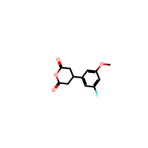 COc1cc(F)cc(C2CC(=O)OC(=O)C2)c1